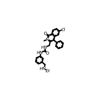 CCNCc1cccc(NC(=O)NCc2c(-c3ccccc3)c3cc(Cl)ccc3c(=O)n2C)c1